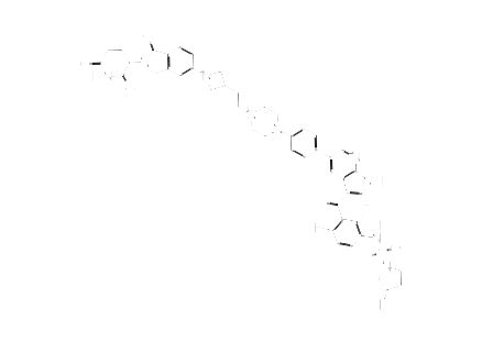 O=C1CCC(N2Cc3cc(N4CC(CCN5CCN(c6ccc(-c7cnc8[nH]cc(C(=O)c9c(F)ccc(NS(=O)(=O)N%10CC[C@@H](F)C%10)c9F)c8c7)cc6)CC5)C4)ccc3C2=O)C(=O)N1